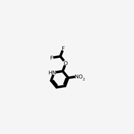 O=[N+]([O-])C1=CC=CNC1OC(F)F